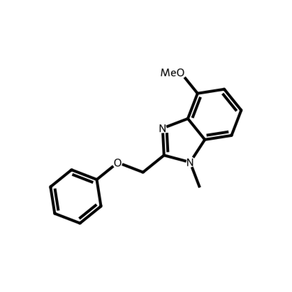 COc1cccc2c1nc(COc1ccccc1)n2C